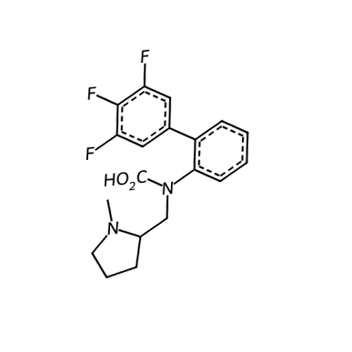 CN1CCCC1CN(C(=O)O)c1ccccc1-c1cc(F)c(F)c(F)c1